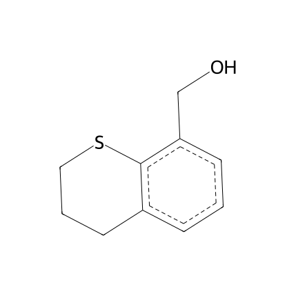 OCc1cccc2c1SCCC2